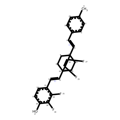 Cc1ccc(/C=C/C23CCC(/C=C/c4ccc(O)c(F)c4F)(CC2)C(F)=C3F)cc1